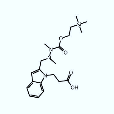 CN(Cc1cc2ccccc2n1CCC(=O)O)N(C)C(=O)OCC[Si](C)(C)C